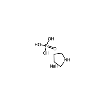 C1CCNC1.O=P(O)(O)O.[NaH]